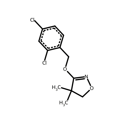 CC1(C)CON=C1OCc1ccc(Cl)cc1Cl